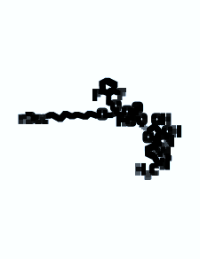 CCCCCCCCCCCCCCCCCCOC[C@H](COP(=O)(O)OC[C@H]1O[C@@](C#N)(c2ccc3c(C)ncnn23)[C@H](O)[C@@H]1O)OCc1c(F)cccc1F